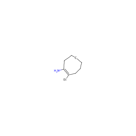 CCC1=C(N)CCCCCC1